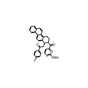 CSc1nccc(C(=O)C2CCc3c(ccc4c3ccc3ccccc34)C2CC(=O)c2ccc(F)cc2)n1